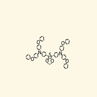 c1ccc(Oc2ccc(N(c3ccc(Oc4ccccc4)cc3)c3ccc(-c4sc(-c5ccc(N(c6ccc(Oc7ccccc7)cc6)c6ccc(Oc7ccccc7)cc6)cc5)c5c4OCCCO5)cc3)cc2)cc1